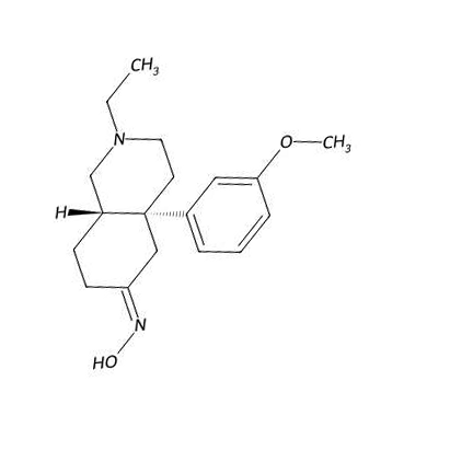 CCN1CC[C@@]2(c3cccc(OC)c3)CC(=NO)CC[C@@H]2C1